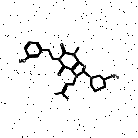 CC(C)=CCn1c(N2CCCC(N)C2)nc2c1c(=O)n(CCc1cccc(O)c1)c(=O)n2C